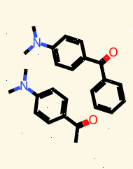 CC(=O)c1ccc(N(C)C)cc1.CN(C)c1ccc(C(=O)c2ccccc2)cc1